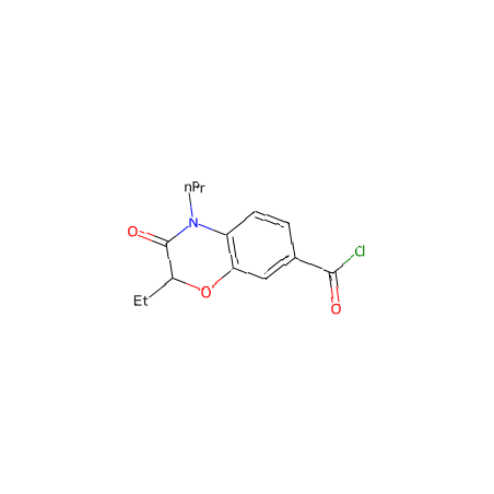 CCCN1C(=O)C(CC)Oc2cc(C(=O)Cl)ccc21